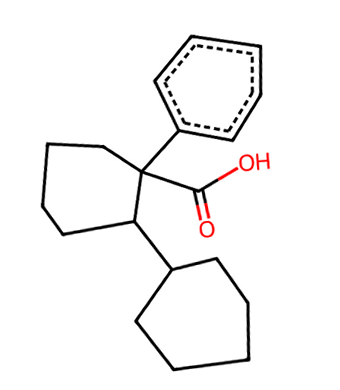 O=C(O)C1(c2ccccc2)CCCCC1C1CCCCC1